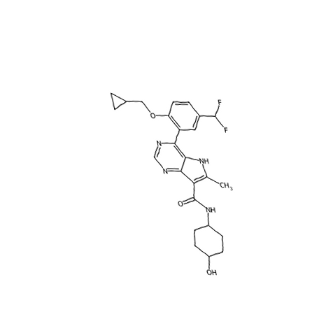 Cc1[nH]c2c(-c3cc(C(F)F)ccc3OCC3CC3)ncnc2c1C(=O)NC1CCC(O)CC1